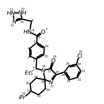 CC[C@H](c1ccc(C(=O)NCc2n[nH][nH]2)cc1)N1C(=O)C(c2cccc(Cl)c2)=NC12CCC(C(C)C)CC2